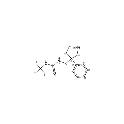 CC(C)(C)OC(=O)NCC1(c2ccccc2)CCNC1